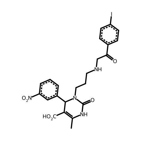 CC1=C(C(=O)O)C(c2cccc([N+](=O)[O-])c2)N(CCCNCC(=O)c2ccc(I)cc2)C(=O)N1